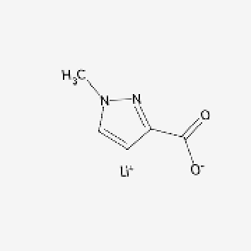 Cn1ccc(C(=O)[O-])n1.[Li+]